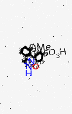 COc1ccccc1C1(N2CCNC2=O)C=CC(S(=O)(=O)O)C=C1